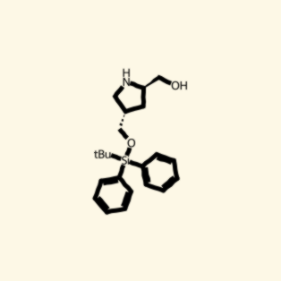 CC(C)(C)[Si](OC[C@@H]1CN[C@@H](CO)C1)(c1ccccc1)c1ccccc1